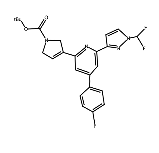 CC(C)(C)OC(=O)N1CC=C(c2cc(-c3ccc(F)cc3)cc(-c3ccn(C(F)F)n3)n2)C1